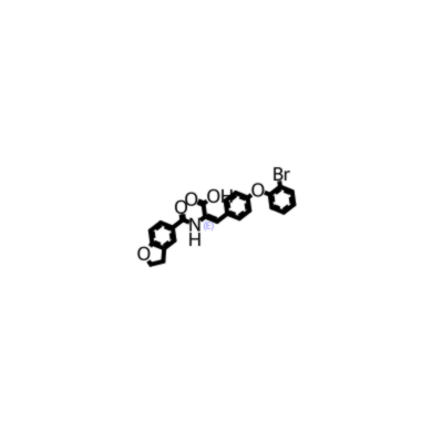 O=C(O)/C(=C\c1ccc(Oc2ccccc2Br)cc1)NC(=O)c1ccc2c(c1)CCO2